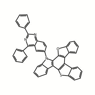 c1ccc(-c2nc(-c3ccccc3)c3cc(-n4c5ccccc5c5c6sc7ccccc7c6c6c7ccccc7oc6c54)ccc3n2)cc1